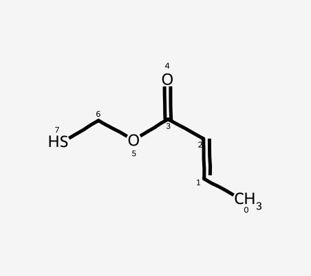 CC=CC(=O)OCS